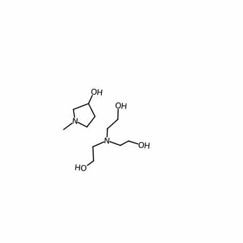 CN1CCC(O)C1.OCCN(CCO)CCO